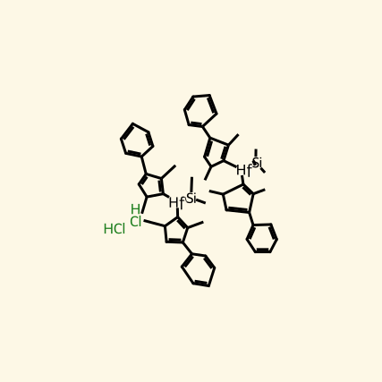 CC1=[C]([Hf]([C]2=C(C)C(c3ccccc3)=CC2C)=[Si](C)C)C(C)C=C1c1ccccc1.CC1=[C]([Hf]([C]2=C(C)C(c3ccccc3)=CC2C)=[Si](C)C)C(C)C=C1c1ccccc1.Cl.Cl